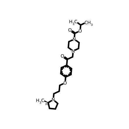 CC(C)OC(=O)N1CCN(CC(=O)c2ccc(OCCCN3CCC[C@H]3C)cc2)CC1